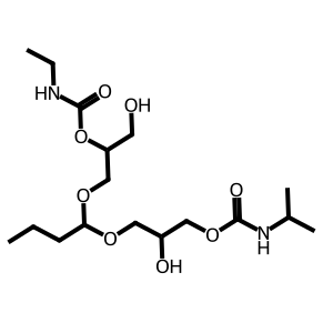 CCCC(OCC(O)COC(=O)NC(C)C)OCC(CO)OC(=O)NCC